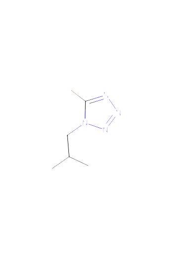 CC(C)Cn1nnnc1[S]